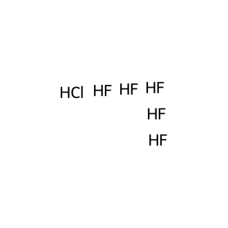 Cl.F.F.F.F.F